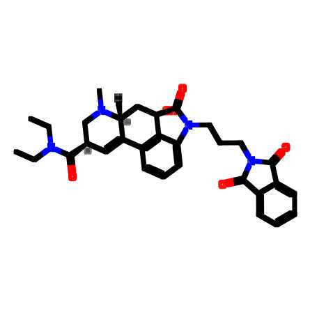 CCN(CC)C(=O)[C@@H]1C=C2c3cccc4c3C(O)(C[C@H]2N(C)C1)C(=O)N4CCCN1C(=O)c2ccccc2C1=O